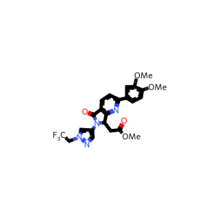 COC(=O)CC1c2nc(-c3ccc(OC)c(OC)c3)ccc2C(=O)N1c1cnn(CC(F)(F)F)c1